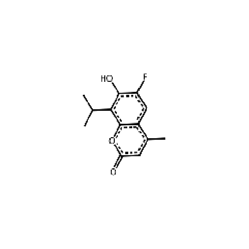 Cc1cc(=O)oc2c(C(C)C)c(O)c(F)cc12